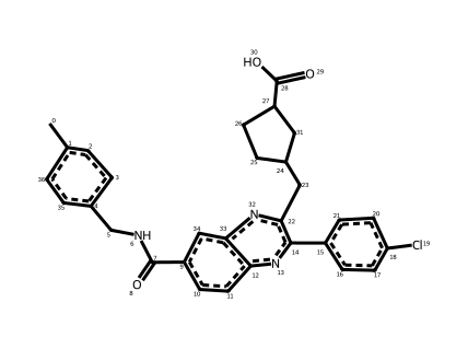 Cc1ccc(CNC(=O)c2ccc3nc(-c4ccc(Cl)cc4)c(CC4CCC(C(=O)O)C4)nc3c2)cc1